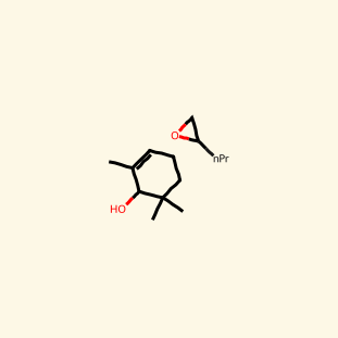 CC1=CCCC(C)(C)C1O.CCCC1CO1